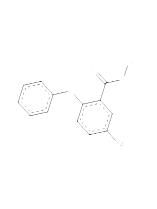 COC(=O)c1cc(N)ccc1Oc1ccccc1